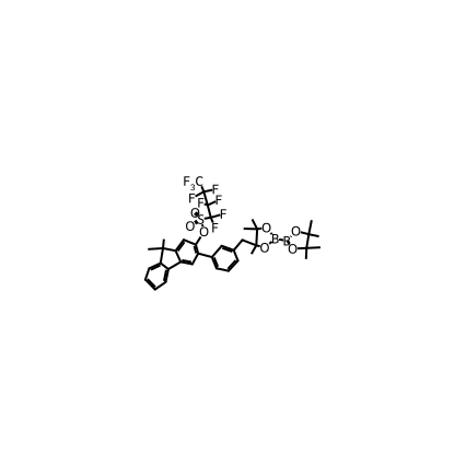 CC1(C)c2ccccc2-c2cc(-c3cccc(CC4(C)OB(B5OC(C)(C)C(C)(C)O5)OC4(C)C)c3)c(OS(=O)(=O)C(F)(F)C(F)(F)C(F)(F)C(F)(F)F)cc21